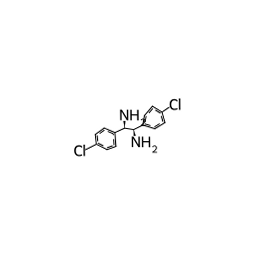 N[C@H](c1ccc(Cl)cc1)[C@H](N)c1ccc(Cl)cc1